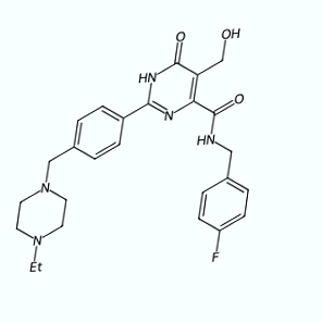 CCN1CCN(Cc2ccc(-c3nc(C(=O)NCc4ccc(F)cc4)c(CO)c(=O)[nH]3)cc2)CC1